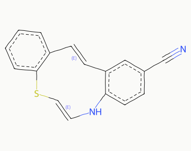 N#Cc1ccc2c(c1)/C=C/c1ccccc1S/C=C/N2